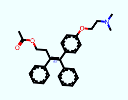 CC(=O)OCC/C(=C(/c1ccccc1)c1ccc(OCCN(C)C)cc1)c1ccccc1